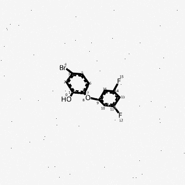 Oc1cc(Br)ccc1Oc1cc(F)cc(F)c1